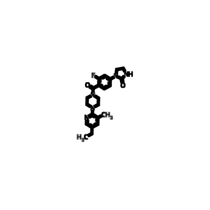 CCc1cnc(N2CCN(C(=O)c3ccc(N4CCNC4=O)cc3F)CC2)c(C)c1